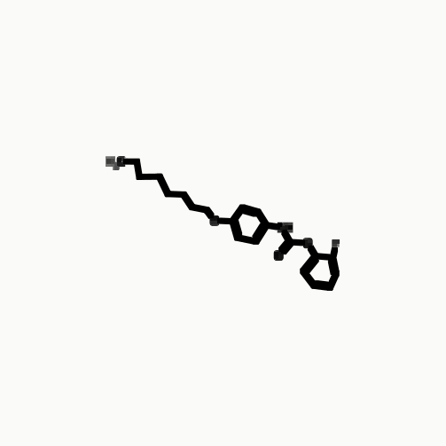 CCCCCCCCOc1ccc(NC(=O)Oc2ccccc2F)cc1